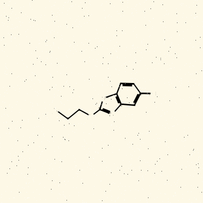 NCCSc1nc2cc(Cl)ccc2[nH]1